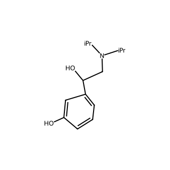 CC(C)N(CC(O)c1cccc(O)c1)C(C)C